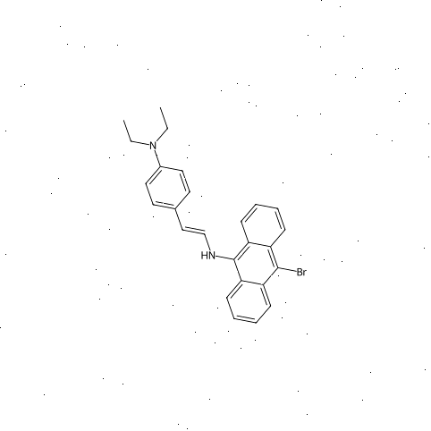 CCN(CC)c1ccc(C=CNc2c3ccccc3c(Br)c3ccccc23)cc1